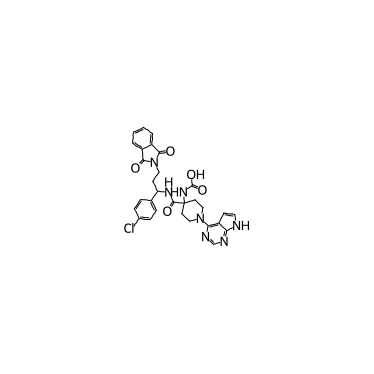 O=C(O)NC1(C(=O)NC(CCN2C(=O)c3ccccc3C2=O)c2ccc(Cl)cc2)CCN(c2ncnc3[nH]ccc23)CC1